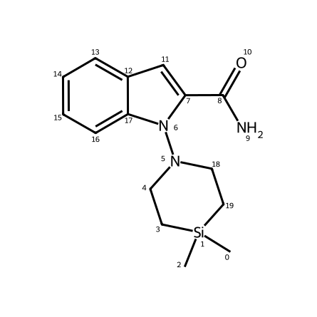 C[Si]1(C)CCN(n2c(C(N)=O)cc3ccccc32)CC1